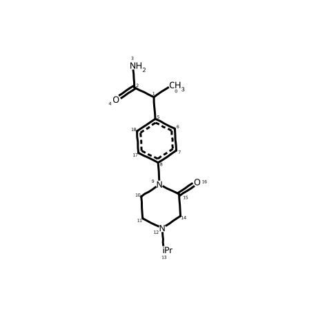 CC(C(N)=O)c1ccc(N2CCN(C(C)C)CC2=O)cc1